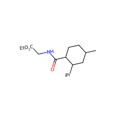 CCOC(=O)CNC(=O)C1CCC(C)CC1C(C)C